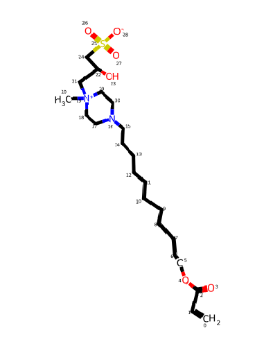 C=CC(=O)OCCCCCCCCCCCN1CC[N+](C)(CC(O)CS(=O)(=O)[O-])CC1